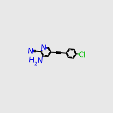 N#Cc1ncc(C#Cc2ccc(Cl)cc2)cc1N